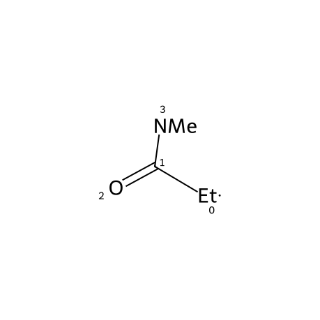 C[CH]C(=O)NC